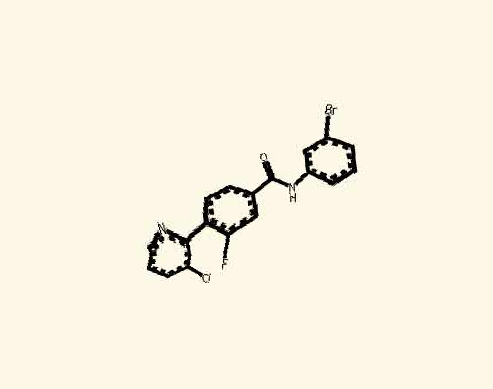 O=C(Nc1cccc(Br)c1)c1ccc(-c2ncccc2Cl)c(F)c1